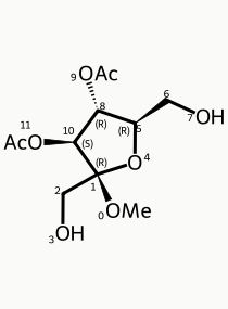 CO[C@]1(CO)O[C@H](CO)[C@@H](OC(C)=O)[C@@H]1OC(C)=O